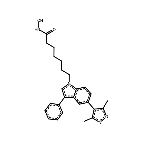 Cc1noc(C)c1-c1ccc2c(c1)c(-c1ccccc1)cn2CCCCCCC(=O)NO